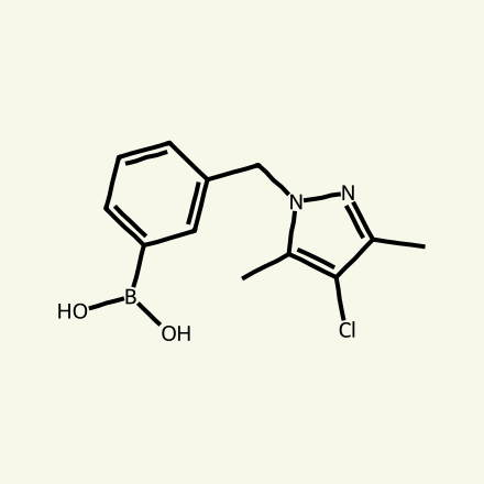 Cc1nn(Cc2cccc(B(O)O)c2)c(C)c1Cl